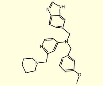 COc1cccc(CN(Cc2ccc3nc[nH]c3c2)c2ccnc(CN3CCCCC3)c2)c1